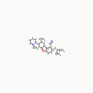 Cc1cc2c(cc1-c1cccc[n+]1C)oc1ccc(CC(C)C)c(C#N)c12